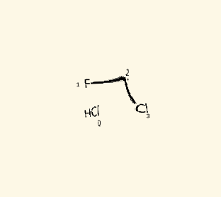 Cl.F[CH]Cl